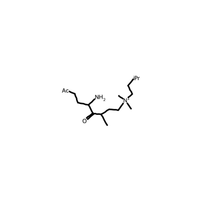 CC(=O)CCC(N)C(=O)C(C)CC[N+](C)(C)CCC(C)C